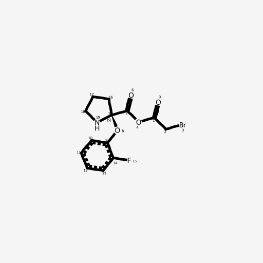 O=C(CBr)OC(=O)[C@@]1(Oc2ccccc2F)CCCN1